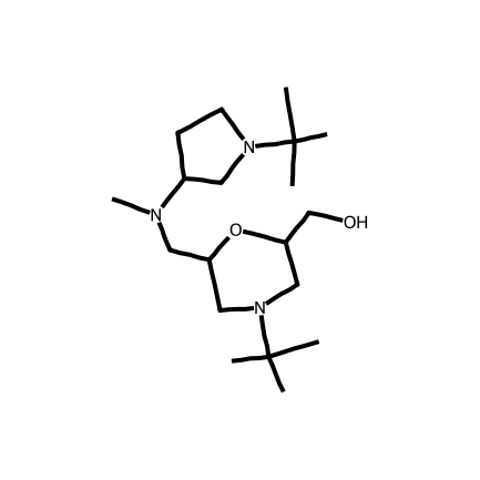 CN(CC1CN(C(C)(C)C)CC(CO)O1)C1CCN(C(C)(C)C)C1